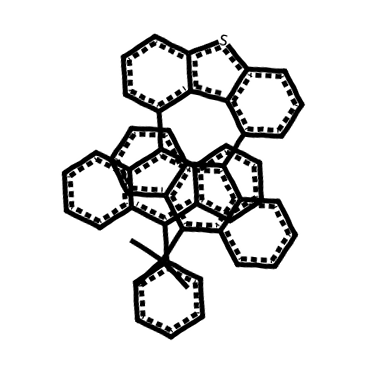 CC(C)(C)c1c2ccccc2c(-c2cccc3sc4cccc(-c5c6ccccc6c(-c6ccccc6)c6ccccc56)c4c23)c2ccccc12